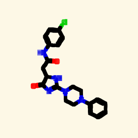 O=C(CC1NC(N2CCN(c3ccccc3)CC2)=NC1=O)Nc1ccc(Cl)cc1